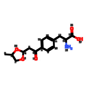 CC1COC(CC(=O)c2ccc(CC(N)C(=O)O)cc2)O1